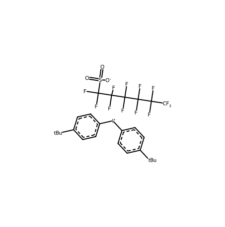 CC(C)(C)c1ccc([I+]c2ccc(C(C)(C)C)cc2)cc1.O=S(=O)([O-])C(F)(F)C(F)(F)C(F)(F)C(F)(F)C(F)(F)C(F)(F)F